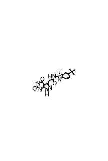 Cn1c(=O)c2c(CC(=O)Nc3nc4ccc(C(C)(C)C)cc4s3)n[nH]c2n(C)c1=O